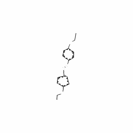 CCOc1ccc(N=Nc2ccc(OCC)cc2)cc1